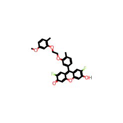 COc1ccc(C)c(OCCOc2cc(-c3c4cc(F)c(=O)cc-4oc4cc(O)c(F)cc34)ccc2C)c1